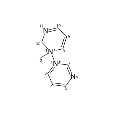 C[N+]1([n+]2cccnc2)C=CC=NC1